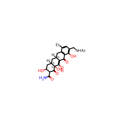 CCc1cc(CNC(C)=O)c(O)c2c1C[C@H]1C[C@H]3CC(O)C(C(N)=O)C(=O)[C@@]3(O)C(O)=C1C2=O